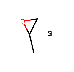 CC1CO1.[Si]